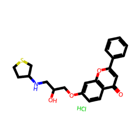 Cl.O=c1cc(-c2ccccc2)oc2cc(OCC(O)CNC3CCSC3)ccc12